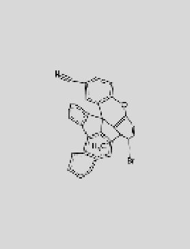 CC1C2=C(C=CC1Br)Oc1ccc(C#N)cc1C21c2ccccc2-c2c1ccc1ccccc21